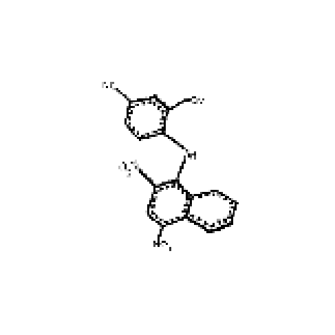 N#Cc1ccc(Nc2c([N+](=O)[O-])cc([N+](=O)[O-])c3ccccc23)c(C#N)c1